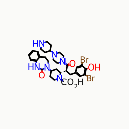 O=C(C(Cc1cc(Br)c(O)c(Br)c1)[C@H]1CC(N2CCc3ccccc3NC2=O)CCN1C(=O)O)N1CCN(C2CCNCC2)CC1